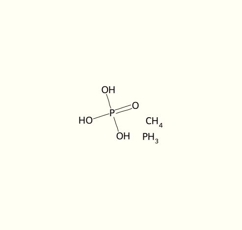 C.O=P(O)(O)O.P